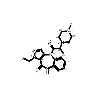 CCn1ncc2c1C(=O)Nc1ccccc1N2C(=O)C(C)N1CCN(C)CC1